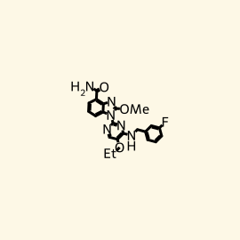 CCOc1cnc(-n2c(OC)nc3c(C(N)=O)cccc32)nc1NCc1cccc(F)c1